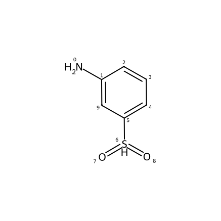 Nc1cccc([SH](=O)=O)c1